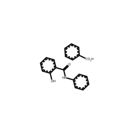 O=C(Nc1ccccc1)c1ccccc1O.O=C(O)c1ccccc1